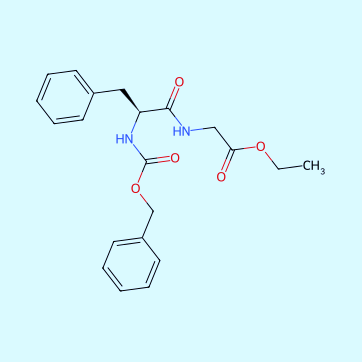 CCOC(=O)CNC(=O)[C@H](Cc1ccccc1)NC(=O)OCc1ccccc1